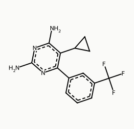 Nc1nc(N)c(C2CC2)c(-c2cccc(C(F)(F)F)c2)n1